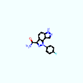 NC(=O)c1nn(-c2ccc(F)cc2)c2c1ccc1[nH]ncc12